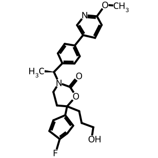 COc1ccc(-c2ccc([C@H](C)N3CCC(CCCO)(c4ccc(F)cc4)OC3=O)cc2)cn1